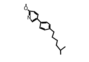 COc1ccc(-c2ccc(CCCCC(C)C)cc2)cn1